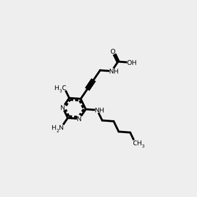 CCCCCNc1nc(N)nc(C)c1C#CCNC(=O)O